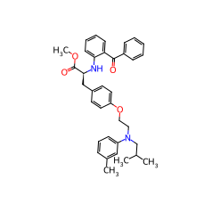 COC(=O)[C@H](Cc1ccc(OCCN(CC(C)C)c2cccc(C)c2)cc1)Nc1ccccc1C(=O)c1ccccc1